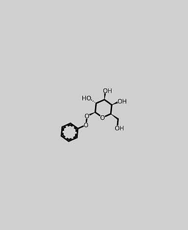 OC[C@H]1O[C@@H](OOc2ccccc2)[C@H](O)[C@@H](O)[C@H]1O